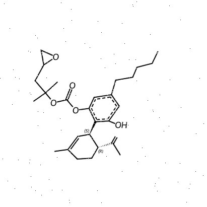 C=C(C)[C@@H]1CCC(C)=C[C@H]1c1c(O)cc(CCCCC)cc1OC(=O)OC(C)(C)CC1CO1